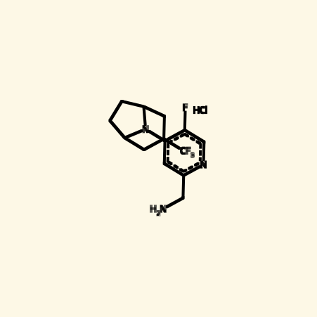 Cl.NCc1cc(N2C3CCC2CC(C(F)(F)F)C3)c(F)cn1